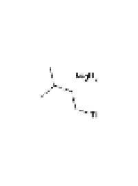 CC(C)C[CH2][Ti].[MgH2]